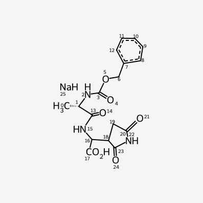 C[C@H](NC(=O)OCc1ccccc1)C(=O)NC(C(=O)O)C1CC(=O)NC1=O.[NaH]